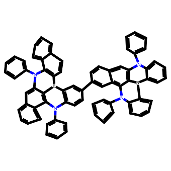 c1ccc(N2c3ccccc3B3c4ccccc4N(c4ccccc4)c4c3c2cc2ccc(-c3ccc5c(c3)B3c6ccc7ccccc7c6N(c6ccccc6)c6cc7ccccc7c(c63)N5c3ccccc3)cc42)cc1